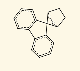 [c]1ccc2c(c1)C1(c3c[c]ccc3-2)C2CCC1CC2